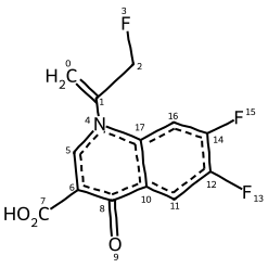 C=C(CF)n1cc(C(=O)O)c(=O)c2cc(F)c(F)cc21